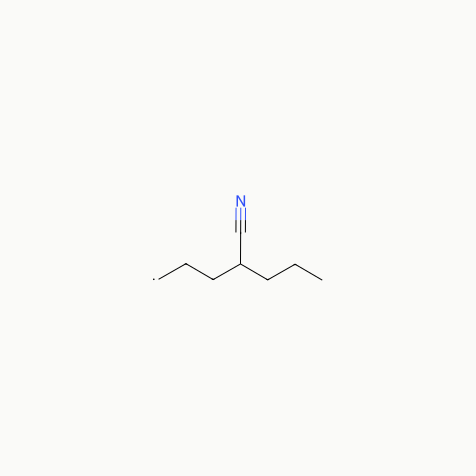 [CH2]CCC(C#N)CCC